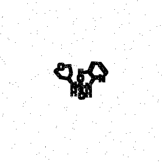 O=S(=O)(Nc1ncccc1F)NC1CCOCC1